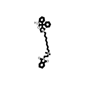 C[N+](C)(CCCCCCCCCN1CCC(C(C(N)=O)(c2ccccc2)c2ccccc2)C1)CCN1C(=O)c2ccccc2C1=O